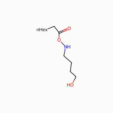 CCCCCCCC(=O)ONCCCCO